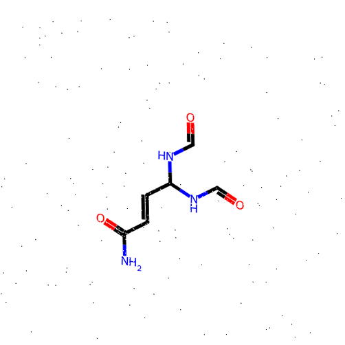 NC(=O)C=CC(NC=O)NC=O